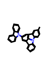 Cc1ccc2c(c1)c1cc(-n3c4ccccc4c4ccccc43)cc3c4ccccc4n2c31